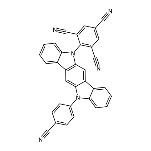 N#Cc1ccc(-n2c3ccccc3c3cc4c(cc32)c2ccccc2n4-c2c(C#N)cc(C#N)cc2C#N)cc1